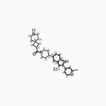 CCc1c(-c2ccnc(C)c2)[nH]c2ccc(C3CCN(C(=O)C4CC5(CCNCC5)C4)CC3)cc12